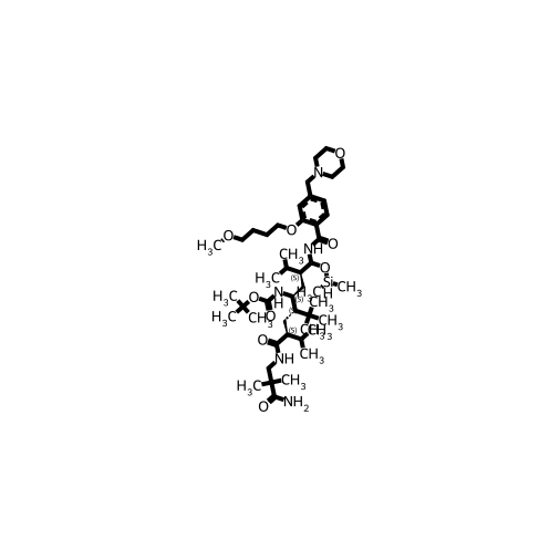 COCCCCOc1cc(CN2CCOCC2)ccc1C(=O)NC(O[SiH](C)C)[C@@H](C[C@H](NC(=O)OC(C)(C)C)[C@@H](C[C@H](C(=O)NCC(C)(C)C(N)=O)C(C)C)C(C)(C)C)C(C)C